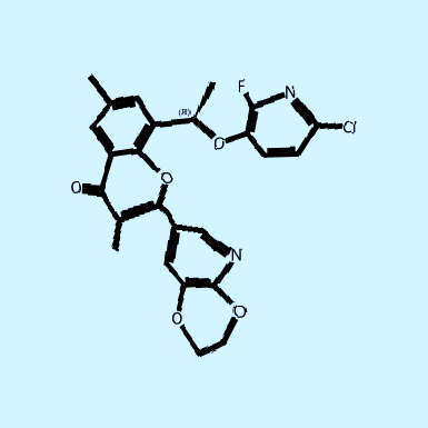 Cc1cc([C@@H](C)Oc2ccc(Cl)nc2F)c2oc(-c3cnc4c(c3)OCCO4)c(C)c(=O)c2c1